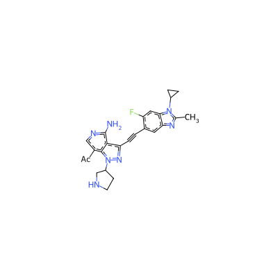 CC(=O)c1cnc(N)c2c(C#Cc3cc4nc(C)n(C5CC5)c4cc3F)nn(C3CCNC3)c12